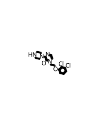 O=c1c(N2CCNCC2)nccn1CCOc1cccc(Cl)c1Cl